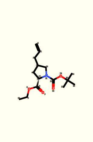 C=CCC1C[C@@H](C(=O)OCC)N(C(=O)OC(C)(C)C)C1